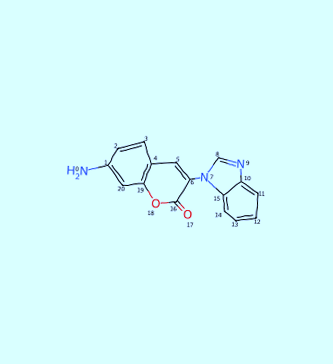 Nc1ccc2cc(-n3cnc4ccccc43)c(=O)oc2c1